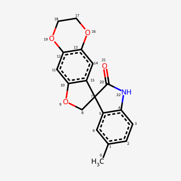 Cc1ccc2c(c1)C1(COc3cc4c(cc31)OCCO4)C(=O)N2